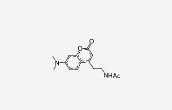 CC(=O)NCCc1cc(=O)oc2cc(N(C)C)ccc12